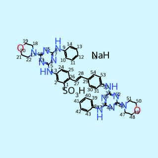 O=S(=O)(O)c1cc(Nc2nc(Nc3ccccc3)nc(N3CCOCC3)n2)ccc1C=Cc1ccc(Nc2nc(Nc3ccccc3)nc(N3CCOCC3)n2)cc1.[NaH]